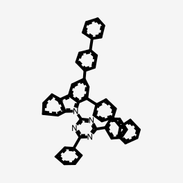 c1ccc(-c2ccc(-c3cc(-c4ccc(-c5ccccc5)cc4)c4c(c3)c3ccccc3n4-c3nc(-c4ccccc4)nc(-c4ccccc4)n3)cc2)cc1